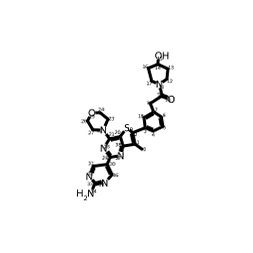 Cc1c(-c2cccc(CC(=O)N3CCC(O)CC3)c2)sc2c(N3CCOCC3)nc(-c3cnc(N)nc3)nc12